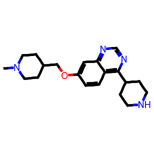 CN1CCC(COc2ccc3c(C4CCNCC4)ncnc3c2)CC1